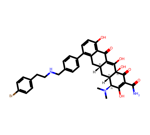 CN(C)[C@@H]1C(O)=C(C(N)=O)C(=O)[C@@]2(O)C(O)=C3C(=O)c4c(O)ccc(-c5ccc(CNCCc6ccc(Br)cc6)cc5)c4C[C@H]3C[C@@H]12